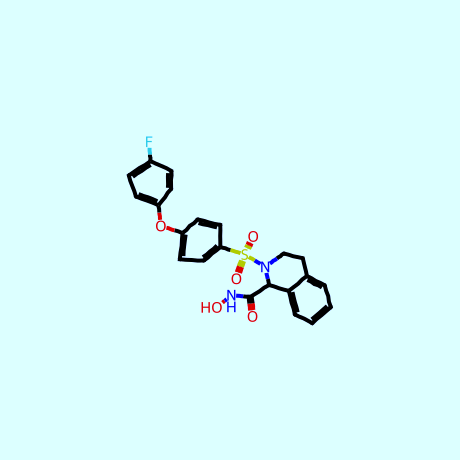 O=C(NO)C1c2ccccc2CCN1S(=O)(=O)c1ccc(Oc2ccc(F)cc2)cc1